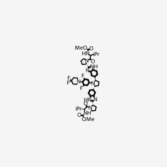 COC(=O)NC(C(=O)N1CCC[C@H]1c1nc2cc([C@H]3CC[C@H](c4ccc5[nH]c([C@@H]6CCCN6C(=O)[C@@H](NC(=O)OC)C(C)C)nc5c4)N3c3cc(F)c(N4CCC(F)(F)CC4)c(F)c3)ccc2[nH]1)C(C)C